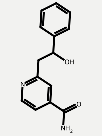 NC(=O)c1ccnc(CC(O)c2ccccc2)c1